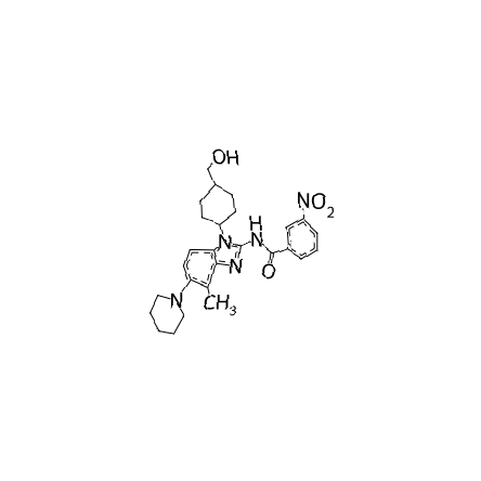 Cc1c(N2CCCCC2)ccc2c1nc(NC(=O)c1cccc([N+](=O)[O-])c1)n2C1CCC(CO)CC1